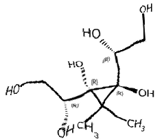 CC1(C)[C@@](O)([C@H](O)CO)[C@]1(O)[C@H](O)CO